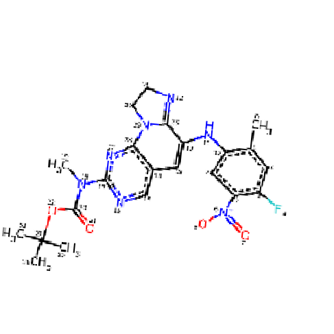 Cc1cc(F)c([N+](=O)[O-])cc1NC1=Cc2cnc(N(C)C(=O)OC(C)(C)C)nc2N2CCN=C12